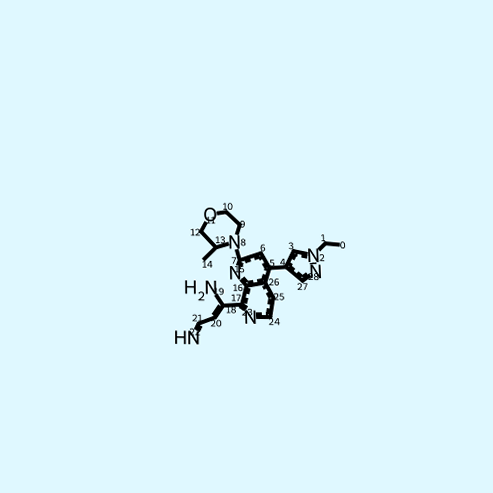 CCn1cc(-c2cc(N3CCOCC3C)nc3c(/C(N)=C/C=N)nccc23)cn1